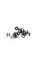 CC(C)OC(=O)CC(N)(C(=O)OCc1ccccc1)c1ccc(OS(C)(=O)=O)cc1